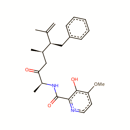 C=C(C)[C@@H](Cc1ccccc1)[C@H](C)CC(=O)[C@H](C)NC(=O)c1nccc(OC)c1O